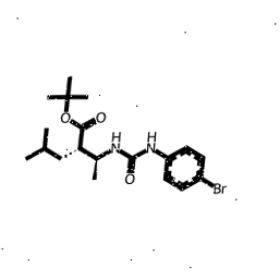 CC(C)C[C@H](C(=O)OC(C)(C)C)[C@H](C)NC(=O)Nc1ccc(Br)cc1